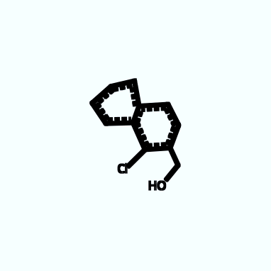 OCc1ccc2ccccc2c1Cl